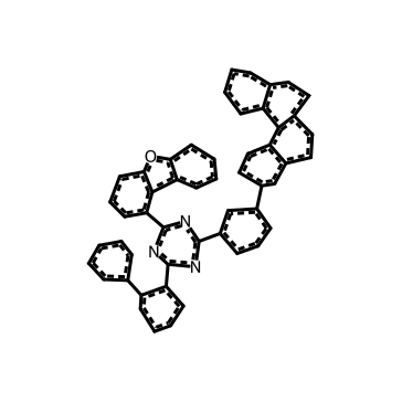 c1ccc(-c2ccccc2-c2nc(-c3cccc(-c4ccc5c(ccc6ccc7ccccc7c65)c4)c3)nc(-c3cccc4oc5ccccc5c34)n2)cc1